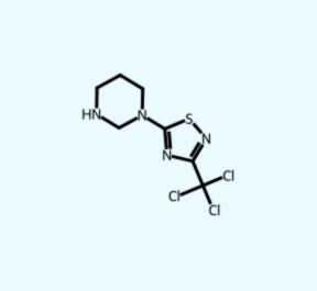 ClC(Cl)(Cl)c1nsc(N2CCCNC2)n1